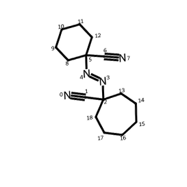 N#CC1(N=NC2(C#N)CCCCC2)CCCCCC1